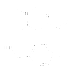 C=CC(=O)OC(C)N(C)C.Cl.NCc1ccccc1